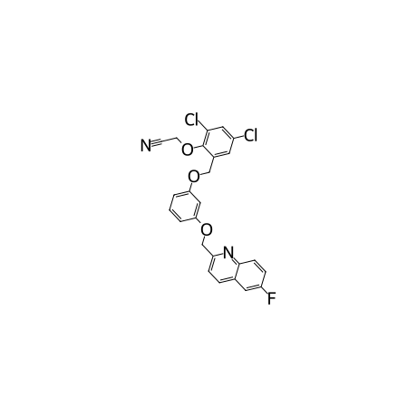 N#CCOc1c(Cl)cc(Cl)cc1COc1cccc(OCc2ccc3cc(F)ccc3n2)c1